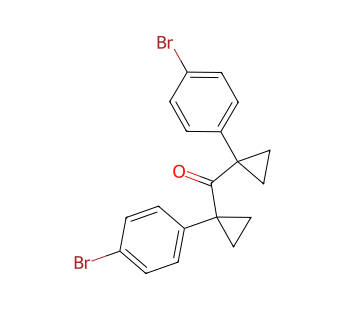 O=C(C1(c2ccc(Br)cc2)CC1)C1(c2ccc(Br)cc2)CC1